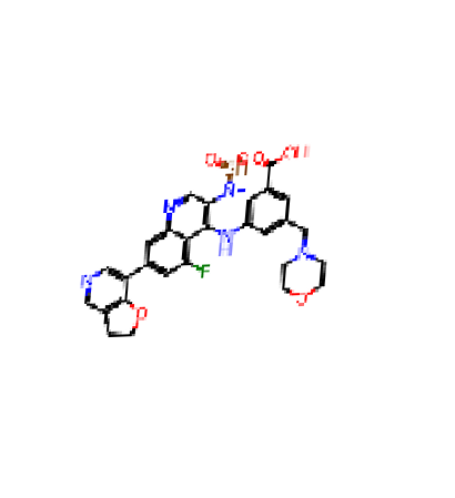 O=C(O)c1cc(CN2CCOCC2)cc(Nc2c(N[SH](=O)=O)cnc3cc(-c4cncc5c4OCC5)cc(F)c23)c1